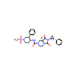 CS(=O)(=O)N1CCC(NC(=O)N2CCN3C(=O)N([C@H]4C[C@@H]4c4ccccc4)C(=O)[C@@H]3C2)C(c2ccccc2)C1